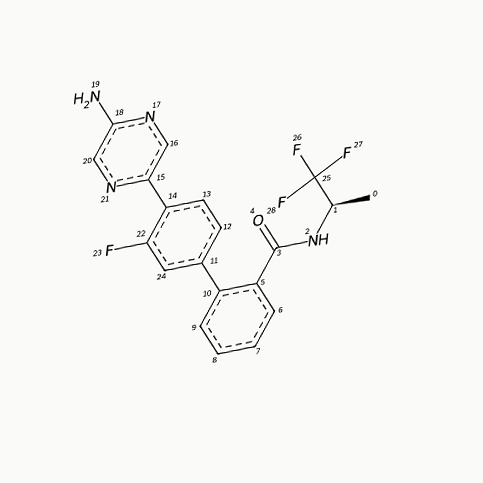 C[C@@H](NC(=O)c1ccccc1-c1ccc(-c2cnc(N)cn2)c(F)c1)C(F)(F)F